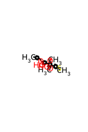 COc1cc(-c2ccc(SC)cc2)c(OC)c(O)c1-c1ccc(OCc2ccc(C)cc2)c(O)c1